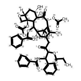 CCC(=O)OC(C(=O)CC1C[C@@]2(O)C(OC(=O)c3ccccc3)C3[C@](C)(C(=O)[C@H](OC(C)=O)C(=C1C)C2(C)C)[C@@H](O)C[C@H]1OC[C@@]31OC(C)=O)C(NC(=O)c1ccccc1)c1ccccc1